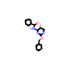 O=C(Nc1nc(OCc2ccccc2)ncc1F)c1ccccc1